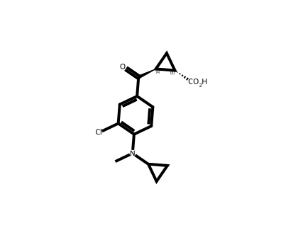 CN(c1ccc(C(=O)[C@H]2C[C@@H]2C(=O)O)cc1Cl)C1CC1